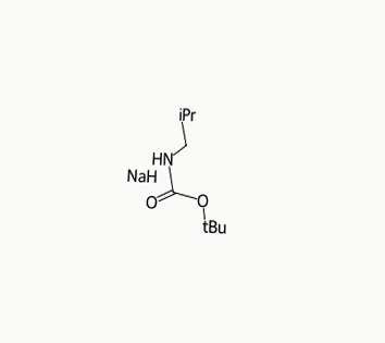 CC(C)CNC(=O)OC(C)(C)C.[NaH]